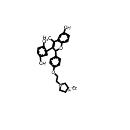 CC[C@@H]1CCN(CCOc2ccc(C3Oc4ccc(O)cc4C(C)=C3c3cc(O)ccc3Cl)cc2)C1